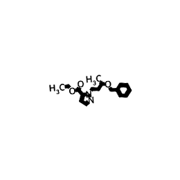 CCOC(=O)c1ccnn1CCC(C)OCc1ccccc1